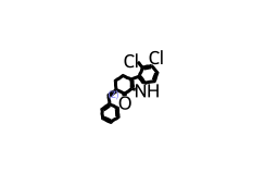 O=C1/C(=C\c2ccccc2)CCc2c1[nH]c1ccc(Cl)c(Cl)c21